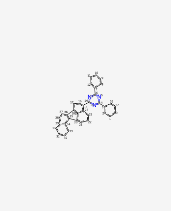 c1ccc(-c2nc(-c3ccccc3)nc(-c3ccc4c5c(cccc35)-c3c-4ccc4ccccc34)n2)cc1